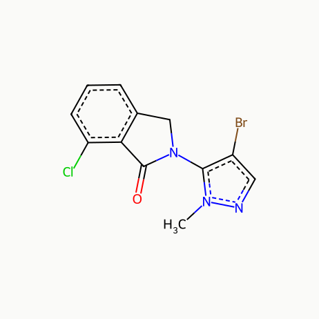 Cn1ncc(Br)c1N1Cc2cccc(Cl)c2C1=O